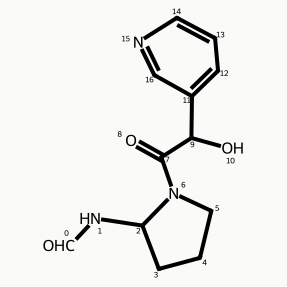 O=CNC1CCCN1C(=O)C(O)c1cccnc1